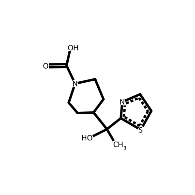 CC(O)(c1nccs1)C1CCN(C(=O)O)CC1